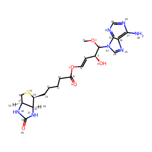 COC([C@@H](O)/C=C/OC(=O)CCCC[C@@H]1SC[C@@H]2NC(=O)N[C@@H]21)n1cnc2c(N)ncnc21